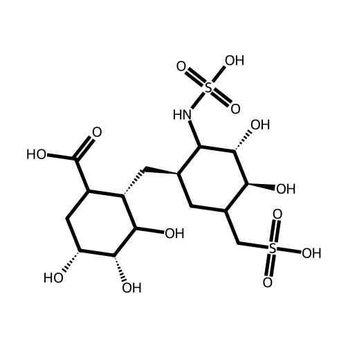 O=C(O)C1C[C@@H](O)[C@@H](O)C(O)[C@H]1C[C@@H]1CC(CS(=O)(=O)O)[C@H](O)[C@@H](O)C1NS(=O)(=O)O